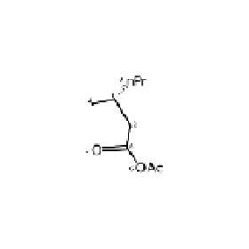 CCC[C@@H](C)CC(=O)OC(C)=O